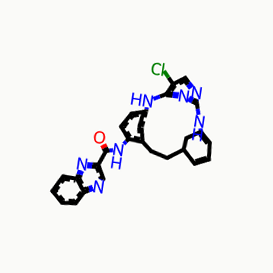 O=C(Nc1ccc2cc1CCC1C=CC=C(C1)Nc1ncc(Cl)c(n1)N2)c1cnc2ccccc2n1